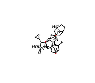 COc1cc(C(=O)O)cc2sc(N3C4CC[C@H]3CC(OCc3c(-c5cccc(F)c5F)noc3C3CC3)C4)nc12